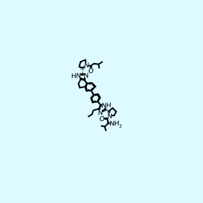 CCCc1nc([C@@H]2CCCN2C(=O)[C@@H](N)C(C)C)[nH]c1-c1ccc(-c2ccc3c(c2)CCc2[nH]c([C@@H]4CCCN4C(=O)CC(C)C)nc2-3)cc1